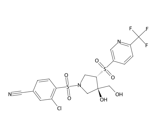 N#Cc1ccc(S(=O)(=O)N2C[C@H](S(=O)(=O)c3ccc(C(F)(F)F)nc3)[C@](O)(CO)C2)c(Cl)c1